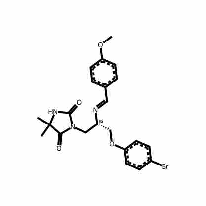 COc1ccc(C=N[C@H](COc2ccc(Br)cc2)CN2C(=O)NC(C)(C)C2=O)cc1